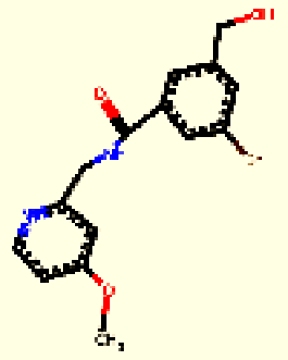 COc1ccnc(CNC(=O)c2cc(Br)cc(CO)c2)c1